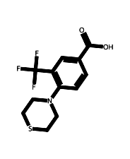 O=C(O)c1ccc(N2CCSCC2)c(C(F)(F)F)c1